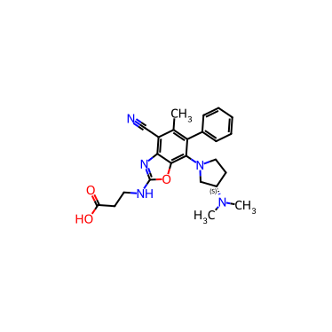 Cc1c(-c2ccccc2)c(N2CC[C@H](N(C)C)C2)c2oc(NCCC(=O)O)nc2c1C#N